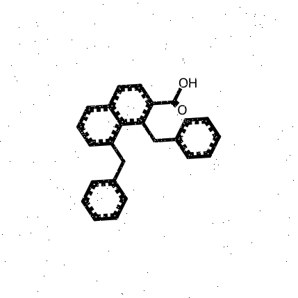 O=C(O)c1ccc2cccc(Cc3ccccc3)c2c1Cc1ccccc1